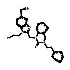 CC(C)CCn1c(CN2C(=O)N(CCc3ccccc3)Cc3ccccc32)nc2cc(CN)ccc21